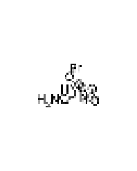 Nc1ccc(CC(NC(=O)c2cccc(Br)c2)C(=O)N2CCC3OCC(=O)C32)cc1